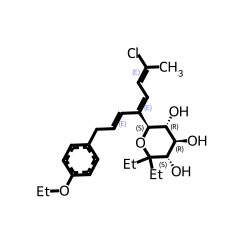 CCOc1ccc(C/C=C/C(=C\C=C(/C)Cl)[C@@H]2OC(CC)(CC)[C@@H](O)[C@H](O)[C@H]2O)cc1